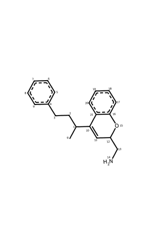 CC(CCc1ccccc1)C1=CC(CN)Oc2ccccc21